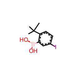 CC(C)(C)c1ccc(I)cc1B(O)O